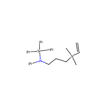 C=C[Si](C)(C)CCCN(C(C)C)[Si](C(C)C)(C(C)C)C(C)C